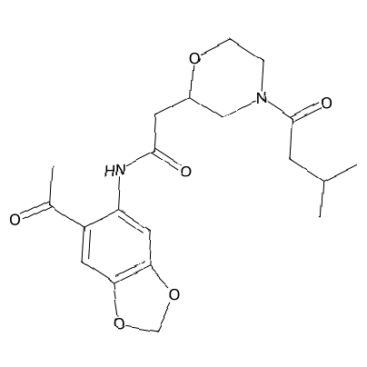 CC(=O)c1cc2c(cc1NC(=O)CC1CN(C(=O)CC(C)C)CCO1)OCO2